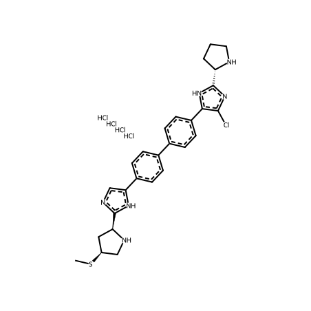 CS[C@@H]1CN[C@H](c2ncc(-c3ccc(-c4ccc(-c5[nH]c([C@@H]6CCCN6)nc5Cl)cc4)cc3)[nH]2)C1.Cl.Cl.Cl.Cl